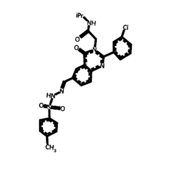 Cc1ccc(S(=O)(=O)N/N=C/c2ccc3nc(-c4cccc(Cl)c4)n(CC(=O)NC(C)C)c(=O)c3c2)cc1